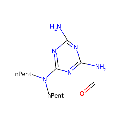 C=O.CCCCCN(CCCCC)c1nc(N)nc(N)n1